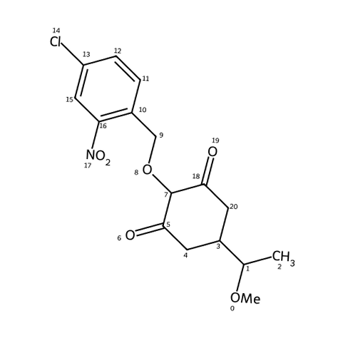 COC(C)C1CC(=O)C(OCc2ccc(Cl)cc2[N+](=O)[O-])C(=O)C1